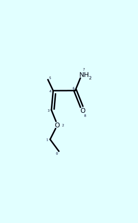 CCOC=C(C)C(N)=O